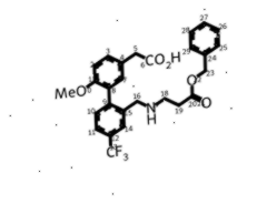 COc1ccc(CC(=O)O)cc1-c1ccc(C(F)(F)F)cc1CNCCC(=O)OCc1ccccc1